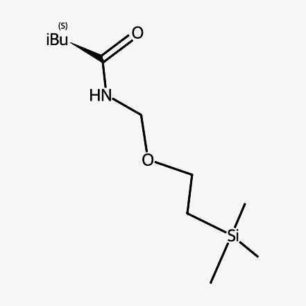 CC[C@H](C)C(=O)NCOCC[Si](C)(C)C